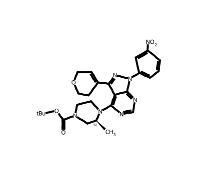 C[C@H]1CN(C(=O)OC(C)(C)C)CCN1c1ncnc2c1c(C1=CCOCC1)nn2-c1cccc([N+](=O)[O-])c1